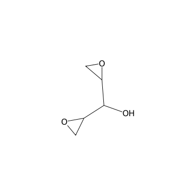 OC(C1CO1)C1CO1